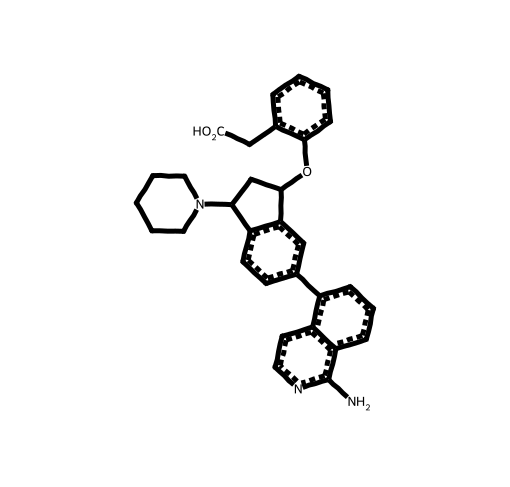 Nc1nccc2c(-c3ccc4c(c3)C(Oc3ccccc3CC(=O)O)CC4N3CCCCC3)cccc12